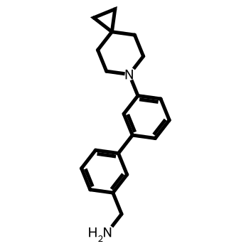 NCc1cccc(-c2cccc(N3CCC4(CC3)CC4)c2)c1